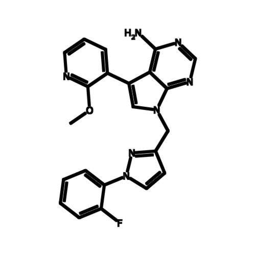 COc1ncccc1-c1cn(Cc2ccn(-c3ccccc3F)n2)c2ncnc(N)c12